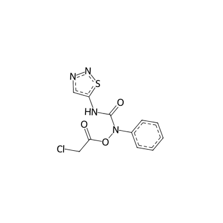 O=C(CCl)ON(C(=O)Nc1cnns1)c1ccccc1